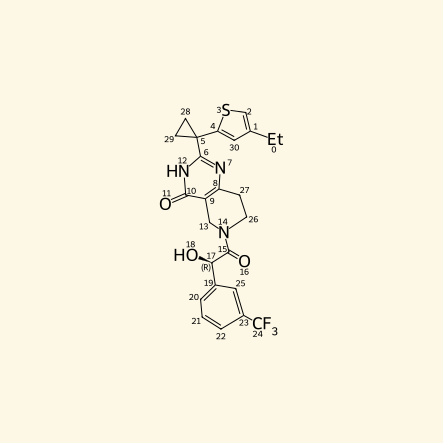 CCc1csc(C2(c3nc4c(c(=O)[nH]3)CN(C(=O)[C@H](O)c3cccc(C(F)(F)F)c3)CC4)CC2)c1